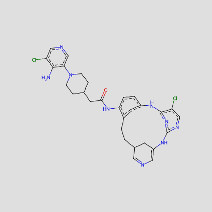 Nc1c(Cl)cncc1N1CCC(CC(=O)Nc2ccc3cc2CCC2C=NC=C(C2)Nc2ncc(Cl)c(n2)N3)CC1